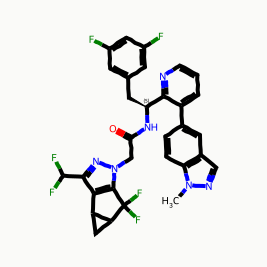 Cn1ncc2cc(-c3cccnc3[C@H](Cc3cc(F)cc(F)c3)NC(=O)Cn3nc(C(F)F)c4c3C(F)(F)C3CC43)ccc21